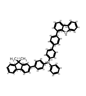 CC1(C)c2ccccc2-c2ccc(-c3ccc(N(c4ccccc4)c4ccc(-c5ccc(-c6cccc7c6oc6ccccc67)cc5)cc4)cc3)cc21